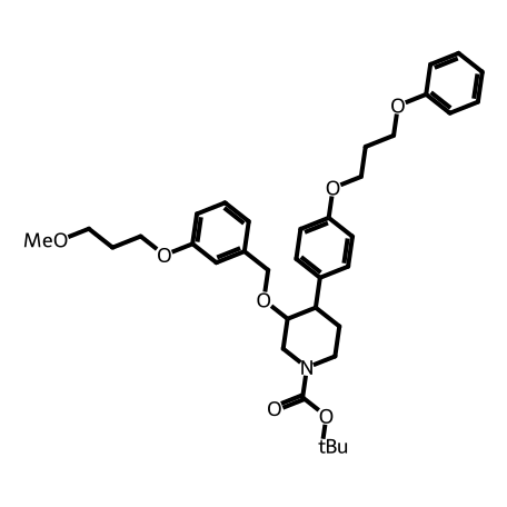 COCCCOc1cccc(COC2CN(C(=O)OC(C)(C)C)CCC2c2ccc(OCCCOc3ccccc3)cc2)c1